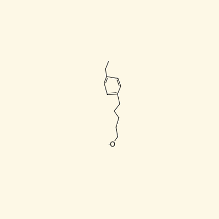 CCc1ccc(CCCCC[O])cc1